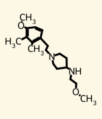 COCCNC1CCN(CCc2ccc(OC)c(C)c2C)CC1